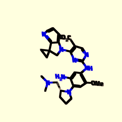 COc1cc(N2CCC[C@@H]2CN(C)C)c(N)cc1Nc1ncc(C(=O)O)c(N2CC3(CC3)c3ncccc32)n1